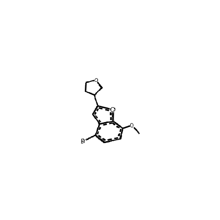 COc1ccc(Br)c2cc(C3CCOC3)oc12